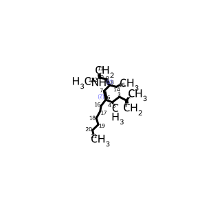 C=C(C)CC(C)/C(=C\C(=C/C(=C)NC)CC)CCCCCC